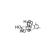 Cc1cc(C)c([C](=O)[AlH][NH][C@@H](CC(=O)O)C(=O)O)c(C)c1.O